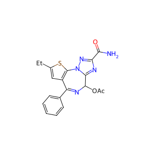 CCc1cc2c(s1)-n1nc(C(N)=O)nc1C(OC(C)=O)N=C2c1ccccc1